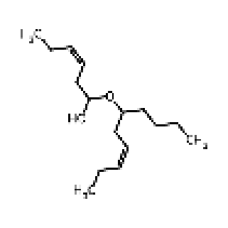 CC/C=C\CC(O)OC(C/C=C\CC)CCCC